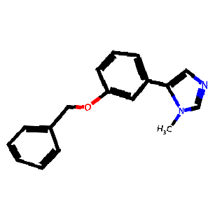 Cn1cncc1-c1cccc(OCc2ccccc2)c1